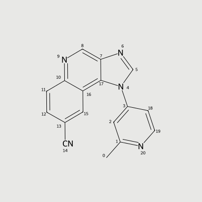 Cc1cc(-n2cnc3cnc4ccc(C#N)cc4c32)ccn1